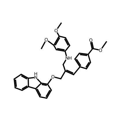 COC(=O)c1ccc(C=C(CNc2ccc(OC)c(OC)c2)COc2cccc3c2[nH]c2ccccc23)cc1